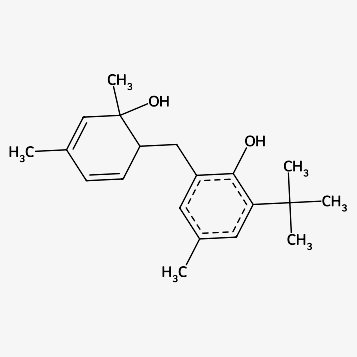 CC1=CC(C)(O)C(Cc2cc(C)cc(C(C)(C)C)c2O)C=C1